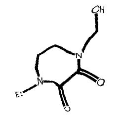 CCN1CCN(CO)C(=O)C1=O